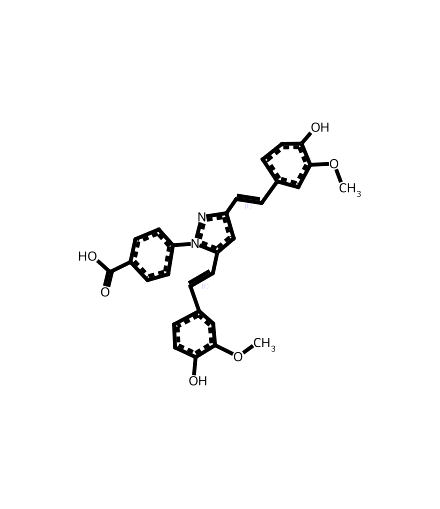 COc1cc(/C=C/c2cc(/C=C/c3ccc(O)c(OC)c3)n(-c3ccc(C(=O)O)cc3)n2)ccc1O